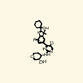 CC1(C)C(C2(O)CCCCC2)=Nc2c(F)cc(-c3nc(N[C@@H]4CCOC[C@H]4O)ncc3Cl)cc21